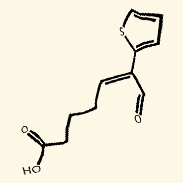 O=CC(=CCCCC(=O)O)c1cccs1